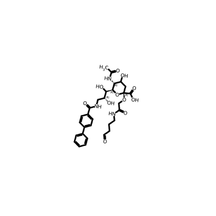 CC(=O)N[C@@H]1C(O)C[C@](OCC(=O)NCCCC=O)(C(=O)O)O[C@H]1C(O)[C@H](O)CNC(=O)c1ccc(-c2ccccc2)cc1